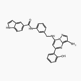 Bc1cnn2c(NCc3cccc(NC(=O)c4ccc5[nH]ccc5c4)c3)cc(-c3ccccc3O)nc12